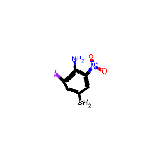 Bc1cc(I)c(N)c([N+](=O)[O-])c1